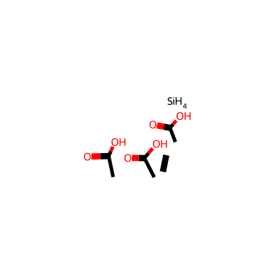 C=C.CC(=O)O.CC(=O)O.CC(=O)O.[SiH4]